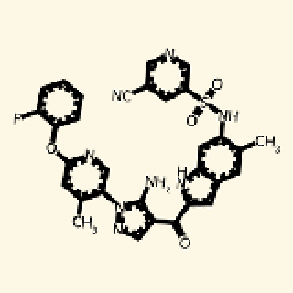 Cc1cc2cc(C(=O)c3cnn(-c4cnc(Oc5ccccc5F)cc4C)c3N)[nH]c2cc1NS(=O)(=O)c1cncc(C#N)c1